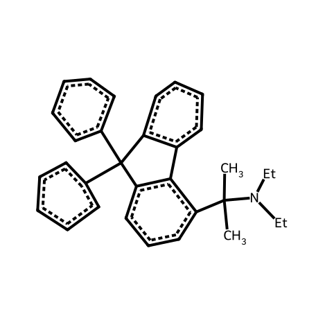 CCN(CC)C(C)(C)c1cccc2c1-c1ccccc1C2(c1ccccc1)c1ccccc1